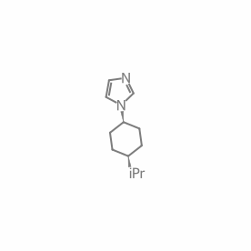 CC(C)[C@H]1CC[C@@H](n2ccnc2)CC1